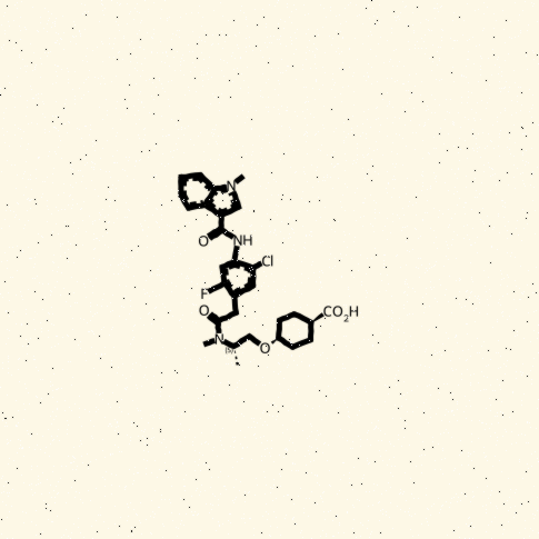 C[C@@H](CO[C@H]1CC[C@H](C(=O)O)CC1)N(C)C(=O)Cc1cc(Cl)c(NC(=O)c2cn(C)c3ccccc23)cc1F